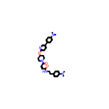 CN(C)c1ccc(CCNC(=O)/C=C\C(=O)N2CCC(Oc3ccc(-c4ccc(N(C)C)cc4)cn3)CC2)cc1